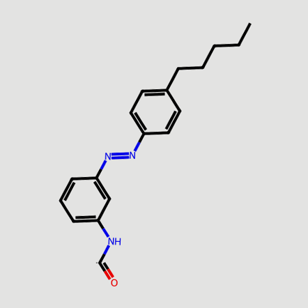 CCCCCc1ccc(N=Nc2cccc(N[C]=O)c2)cc1